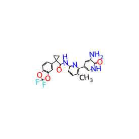 Cc1ccc(NC(=O)C2(c3ccc4c(c3)OC(F)(F)O4)CC2)nc1-c1c[nH]c(=O)c(N)c1